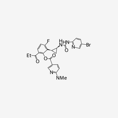 CCC(=O)c1ccc(F)c([C@@H]2C[C@@H]2NC(=O)Nc2ccc(Br)cn2)c1OC(=O)c1ccc(NC)nc1